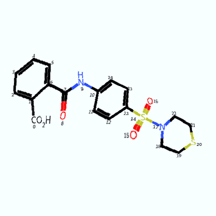 O=C(O)c1ccccc1C(=O)Nc1ccc(S(=O)(=O)N2CCSCC2)cc1